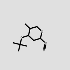 CC1COC(N=O)CC1OC(C)(C)C